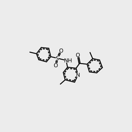 Cc1ccc(S(=O)(=O)Nc2cc(C)cnc2C(=O)c2ccccc2C)cc1